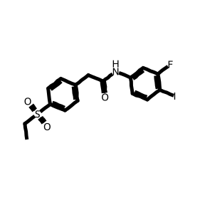 CCS(=O)(=O)c1ccc(CC(=O)Nc2ccc(I)c(F)c2)cc1